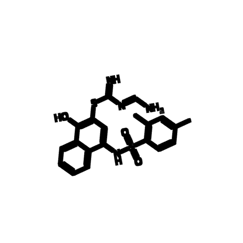 Cc1ccc(S(=O)(=O)Nc2cc(SC(=N)/N=C/N)c(O)c3ccccc23)c(C)c1